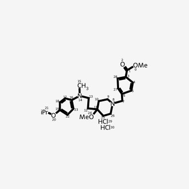 COC(=O)c1ccc(CN2CCC(CCN(C)c3ccc(OC(C)C)cc3)(OC)CC2)cc1.Cl.Cl